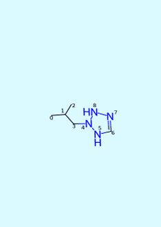 CC(C)CN1NC=NN1